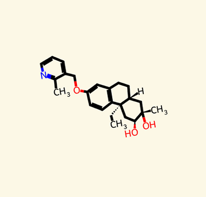 CC[C@@]12C[C@H](O)[C@@](C)(O)C[C@H]1CCc1cc(OCc3cccnc3C)ccc12